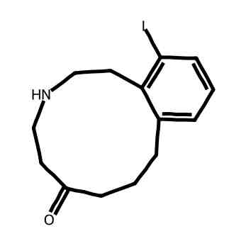 O=C1CCCc2cccc(I)c2CCNCC1